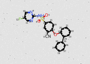 N#Cc1cc(S(=O)(=O)Nc2ncc(F)cn2)ccc1Oc1ccccc1-c1ccccc1